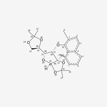 Cc1ccc2ccccc2c1O[C@@H]1[C@H]2OC(C)(C)O[C@H]2O[C@@H]1[C@H]1COC(C)(C)O1